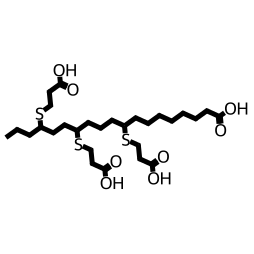 CCCC(CCC(CCCC(CCCCCCCC(=O)O)SCCC(=O)O)SCCC(=O)O)SCCC(=O)O